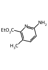 CCOC(=O)c1nc(N)ccc1C